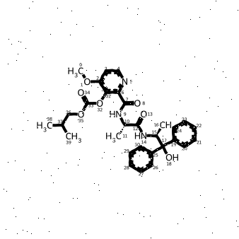 COc1ccnc(C(=O)N[C@@H](C)C(=O)N[C@@H](C)C(O)(c2ccccc2)c2ccccc2)c1OC(=O)OCC(C)C